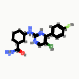 NC(=O)C1CCCC(Nc2ncc(Cl)c(-c3ccc(F)cc3)n2)C1